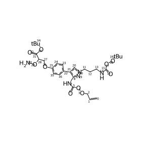 C=CCOOC(=O)Nc1nn(CCCNC(=O)OOC(C)(C)C)cc1-c1ccc(OCC(ON)C(=O)OC(C)(C)C)cc1